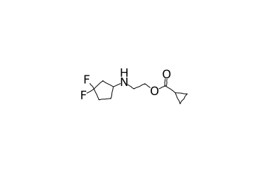 O=C(OCCNC1CCC(F)(F)C1)C1CC1